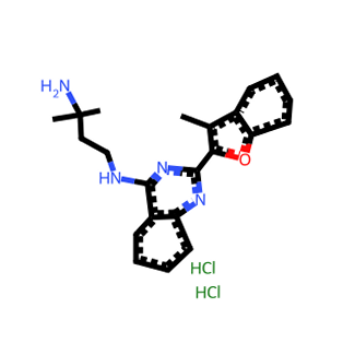 Cc1c(-c2nc(NCCC(C)(C)N)c3ccccc3n2)oc2ccccc12.Cl.Cl